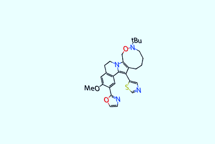 COc1cc2c(cc1-c1ncco1)-c1c(-c3cncs3)c3c(n1CC2)CON(C(C)(C)C)CCCC3